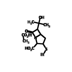 CCOC(C)=O.CCSC1CC2C(C(C)(C)O)C(=O)N2C1C(=O)O